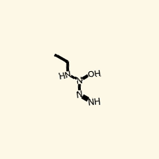 CCNN(O)N=N